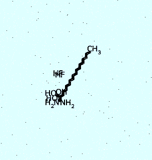 CCCCCCCCCCCCCCCCCCC(=C(N)N)C(O)(O)O.F.F